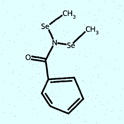 C[Se]N([Se]C)C(=O)c1ccccc1